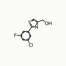 OCc1csc(-c2cc(F)cc(Cl)c2)n1